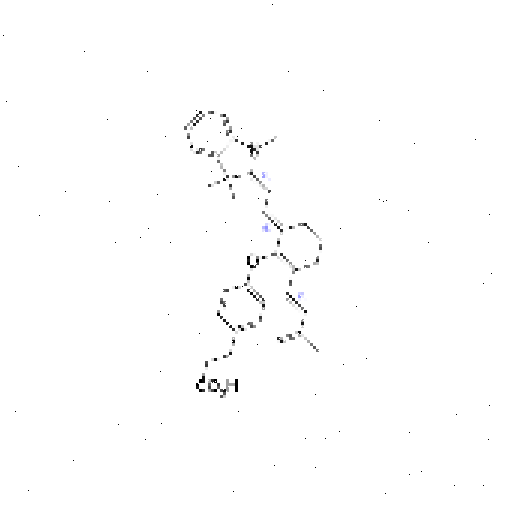 C=C(C)/C=C/C1=C(Oc2ccc(CCC(=O)O)cc2)C(=C/C=C2/N(C)c3ccccc3C2(C)C)/CCC1